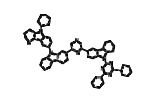 c1ccc(-c2nc(-c3ccccc3)nc(-n3c4ccccc4c4cc(-c5cncc(-c6ccc7c8ccccc8n(-c8ccc9c(c8)c8ncccc8n9-c8ccccc8)c7c6)n5)ccc43)n2)cc1